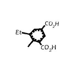 CCc1cc(C(=O)O)cc(C(=O)O)c1C